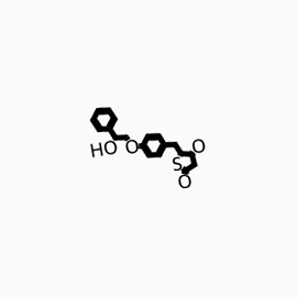 O=C1CC(=O)C(Cc2ccc(OC[C@@H](O)c3ccccc3)cc2)S1